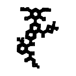 C=CC(=O)Nc1cccc(C)c1Nc1cc2c(NC3CC(F)(F)C3)nc(-c3c(Cl)c(OC)cc(OC)c3Cl)cc2cn1